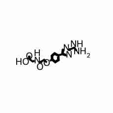 N=C(N)c1ncc(-c2ccc(OCC(=O)NCC(=O)O)cc2)cn1